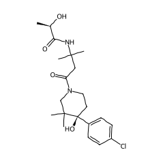 C[C@@H](O)C(=O)NC(C)(C)CC(=O)N1CC[C@](O)(c2ccc(Cl)cc2)C(C)(C)C1